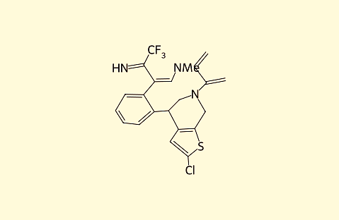 C=CC(=C)N1Cc2sc(Cl)cc2C(c2ccccc2/C(=C/NC)C(=N)C(F)(F)F)C1